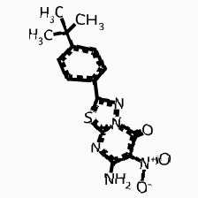 CC(C)(C)c1ccc(-c2nn3c(=O)c([N+](=O)[O-])c(N)nc3s2)cc1